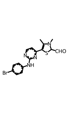 CC1=C(c2ccnc(Nc3ccc(Br)cc3)n2)SC(C=O)N1C